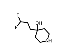 OC1(CCC(F)F)CCNCC1